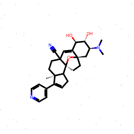 CN(C)[C@H]1C[C@@]23CC[C@]4(O2)C2CC=C(c5ccncc5)[C@@]2(C)CCC4(C#N)C=C3[C@@H](O)[C@@H]1O